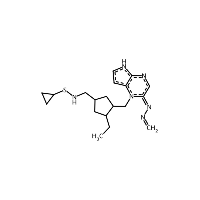 C=N/N=c1/cnc2[nH]ccc2n1CC1CC(CNSC2CC2)CC1CC